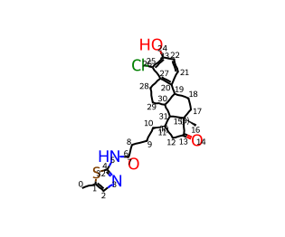 Cc1cnc(NC(=O)CCC[C@@H]2CC(=O)[C@@]3(C)CCC4c5ccc(O)c(Cl)c5CCC4C23)s1